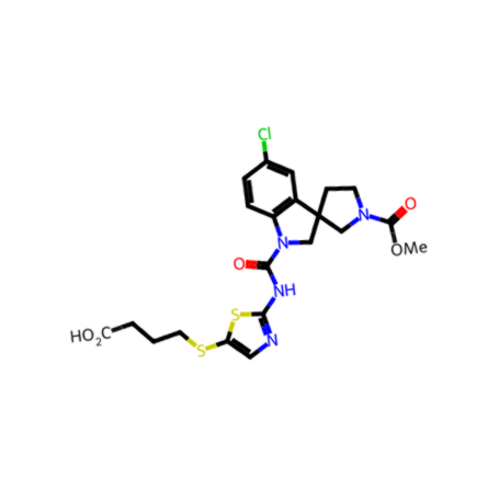 COC(=O)N1CCC2(C1)CN(C(=O)Nc1ncc(SCCCC(=O)O)s1)c1ccc(Cl)cc12